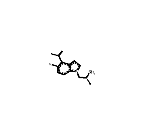 CC(C)c1c(F)ccc2c1ccn2C[C@H](C)N